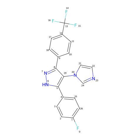 Fc1ccc(-c2[nH]nc(-c3ccc(C(F)(F)F)cc3)c2-n2ccnc2)cc1